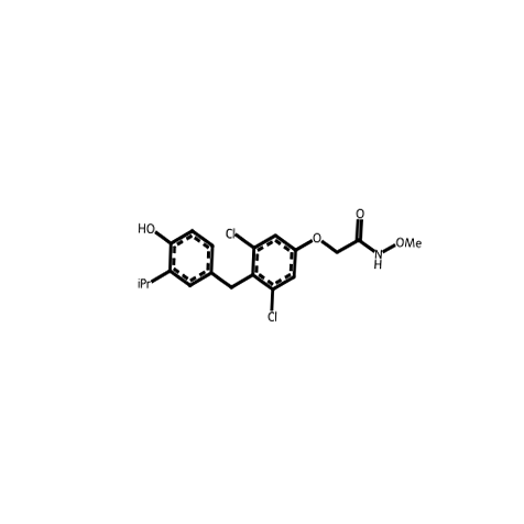 CONC(=O)COc1cc(Cl)c(Cc2ccc(O)c(C(C)C)c2)c(Cl)c1